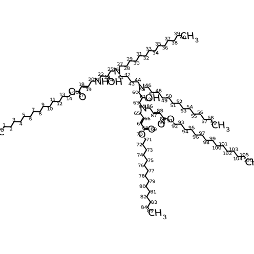 CCCCCCCCCCCCCCCOC(=O)/C=C/CNCC(O)CN(CCCCCCCCCCCCCC)CCCCN(CCCCCCCCCCCCCC)CC(O)CN(C/C=C/C(=O)OCCCCCCCCCCCCCCC)C/C=C/C(=O)OCCCCCCCCCCCCCCC